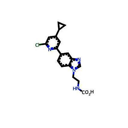 O=C(O)NCCn1cnc2cc(-c3cc(C4CC4)cc(Cl)n3)ccc21